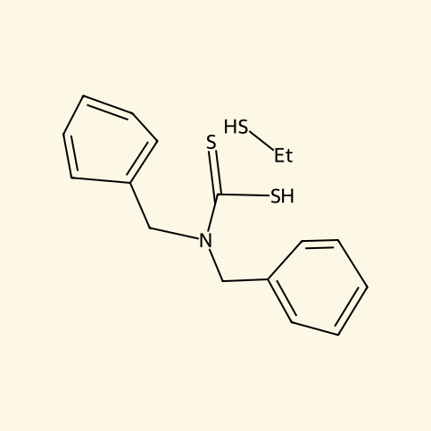 CCS.S=C(S)N(Cc1ccccc1)Cc1ccccc1